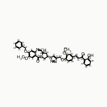 COc1cc2c(cc1OCc1ccccc1)N=C[C@@H]1C[C@H](n3cc(COc4ccc(/C=C/C(=O)c5ccccc5O)cc4OC)nn3)CN1C2=O